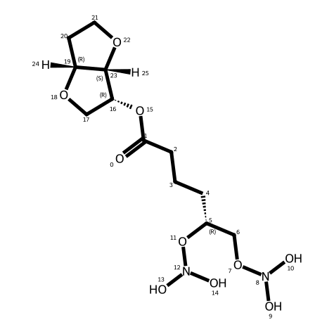 O=C(CCC[C@H](CON(O)O)ON(O)O)O[C@@H]1CO[C@@H]2CCO[C@@H]21